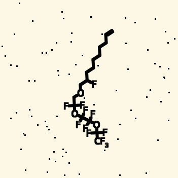 C=CCCCCCCC(F)COCC(F)(F)OC(F)(F)C(F)(F)OC(F)(F)C(F)(F)F